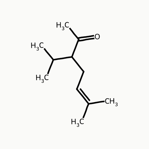 CC(=O)C(CC=C(C)C)C(C)C